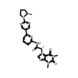 C[C@@H]1CCCN1c1ncc(-c2cccc(NC(=O)[C@H](C)n3cnc4c3c(=O)n(C)c(=O)n4C)n2)cn1